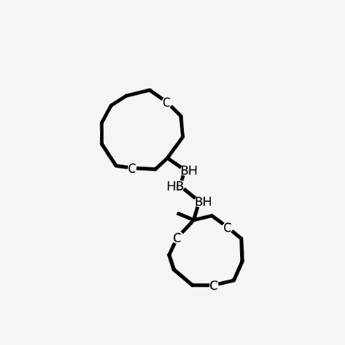 CC1(BBBC2CCCCCCCCCCC2)CCCCCCCCCC1